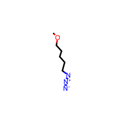 COCCCCCN=[N+]=[N-]